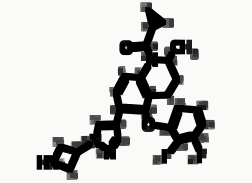 CC1CCc2c(ccc(-c3cnn(C4CNC4)c3)c2Oc2cccc(F)c2F)N1C(=O)C1CC1